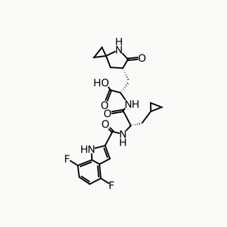 O=C(N[C@@H](CC1CC1)C(=O)N[C@@H](C[C@@H]1CC2(CC2)NC1=O)C(=O)O)c1cc2c(F)ccc(F)c2[nH]1